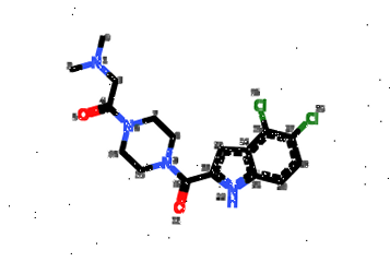 CN(C)CC(=O)N1CCN(C(=O)c2cc3c(Cl)c(Cl)ccc3[nH]2)CC1